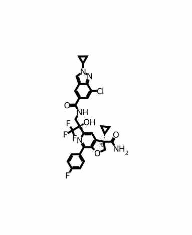 NC(=O)[C@@]1(C2CC2)COc2c1cc([C@@](O)(CNC(=O)c1cc(Cl)c3nn(C4CC4)cc3c1)C(F)(F)F)nc2-c1ccc(F)cc1